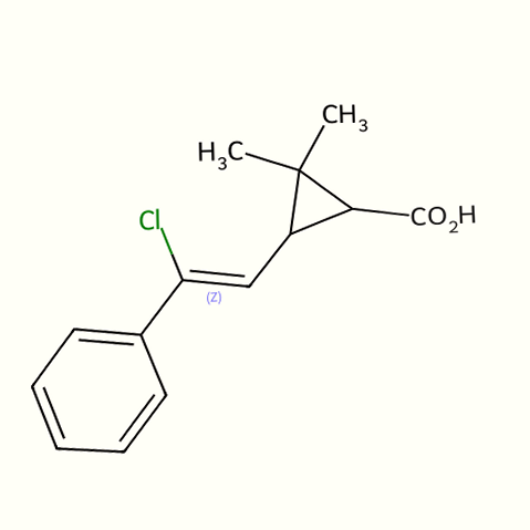 CC1(C)C(/C=C(\Cl)c2ccccc2)C1C(=O)O